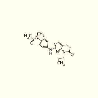 CCCn1c(=O)ccc2cnc(Nc3ccc(N(C)C(C)=O)cc3)nc21